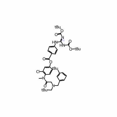 CN(C(=O)CN(Cc1cccc(C(C)(C)C)c1)CC(C)(C)C)c1ccc(OC(=O)c2ccc(N/C(=N\C(=O)OC(C)(C)C)NC(=O)OC(C)(C)C)cc2)cc1Cl